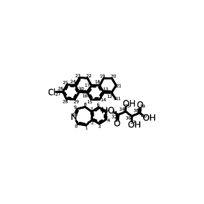 C1=Cc2ccccc2CC=N1.CC1=c2ccc3c(c2CCC1)CC=c1cc(Cl)ccc1=3.O=C(O)C(O)C(O)C(=O)O